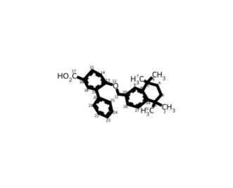 CC1(C)CCC(C)(C)c2cc(COc3ccc(C(=O)O)cc3-c3ccccc3)ccc21